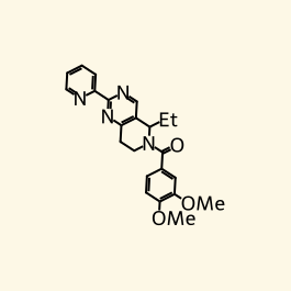 CCC1c2cnc(-c3ccccn3)nc2CCN1C(=O)c1ccc(OC)c(OC)c1